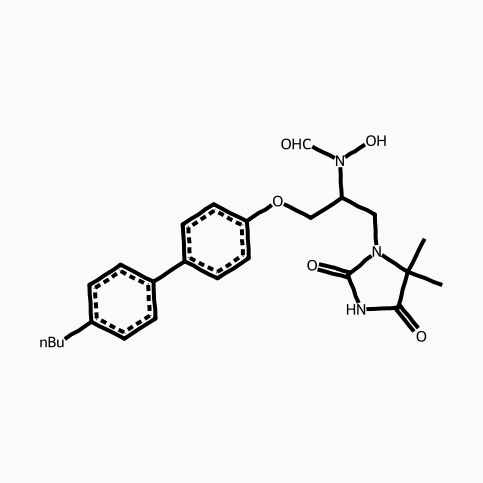 CCCCc1ccc(-c2ccc(OCC(CN3C(=O)NC(=O)C3(C)C)N(O)C=O)cc2)cc1